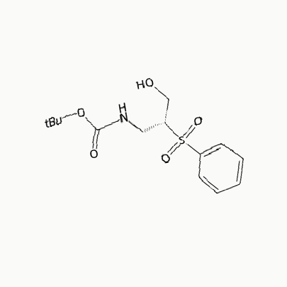 CC(C)(C)OC(=O)NC[C@H](CO)S(=O)(=O)c1ccccc1